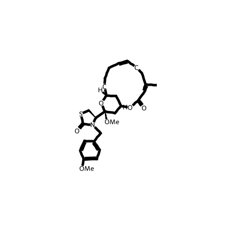 COc1ccc(CN2C(=O)SC[C@H]2[C@@]2(OC)C[C@H]3C[C@@H](CCC/C=C\CC/C(C)=C\C(=O)O3)O2)cc1